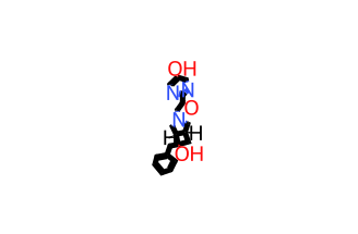 O=C(CN1C[C@H]2C[C@](O)(Cc3ccccc3)[C@H]2C1)c1ncc(O)cn1